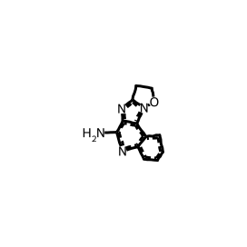 Nc1nc2ccccc2c2c1nc1n2OCC1